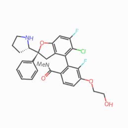 CNC(=O)c1ccc(OCCO)c(F)c1-c1c(Cl)c(F)cc2c1C[C@](c1ccccc1)([C@@H]1CCCN1)O2